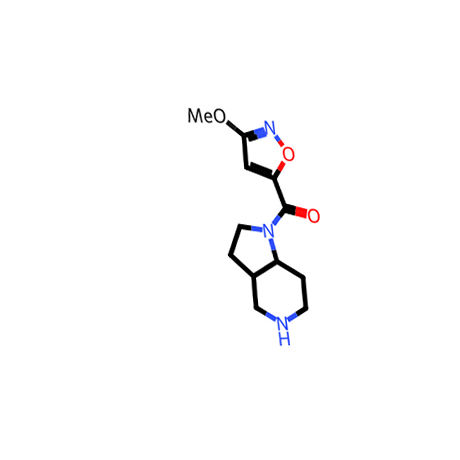 COc1cc(C(=O)N2CCC3CNCCC32)on1